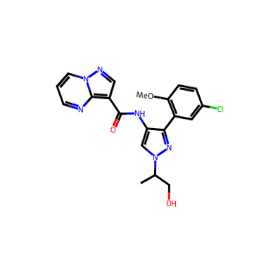 COc1ccc(Cl)cc1-c1nn(C(C)CO)cc1NC(=O)c1cnn2cccnc12